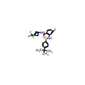 CC(C)(C)c1ccc(SNc2cc(F)ccc2C(=O)NC23CC(C(F)(F)F)(C2)C3)cc1